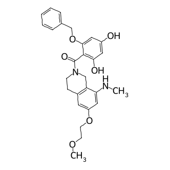 CNc1cc(OCCOC)cc2c1CN(C(=O)c1c(O)cc(O)cc1OCc1ccccc1)CC2